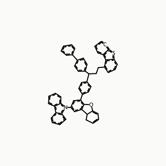 C1=CCC2C(=C1)Oc1c(-c3ccc(C(CCc4cccc5sc6ccccc6c45)c4ccc(-c5ccccc5)cc4)cc3)cc(-n3c4ccccc4c4ccccc43)cc12